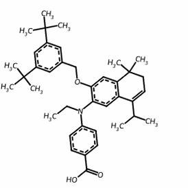 CCN(c1ccc(C(=O)O)cc1)c1cc2c(cc1OCc1cc(C(C)(C)C)cc(C(C)(C)C)c1)C(C)(C)CC=C2C(C)C